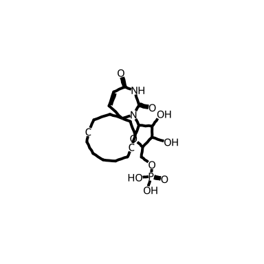 O=C1C=CC2(CCCCCCCCCCC2)N(C2OC(COP(=O)(O)O)C(O)C2O)C(=O)N1